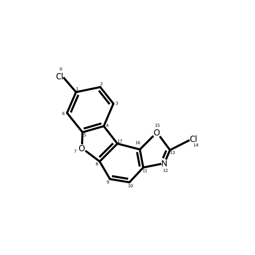 Clc1ccc2c(c1)oc1ccc3nc(Cl)oc3c12